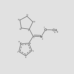 CO/N=C(/c1cccs1)C1CCCC1